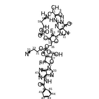 CC(C)C(=O)Nc1nc2c(ncn2C2OC(COP(=O)(OCCC#N)O[C@@H]3C(CO)OC(n4cnc5c(NC(=O)c6ccccc6)ncnc54)[C@@H]3F)[C@@H](OP(=O)(O)OCCC#N)[C@H]2F)c(=O)[nH]1